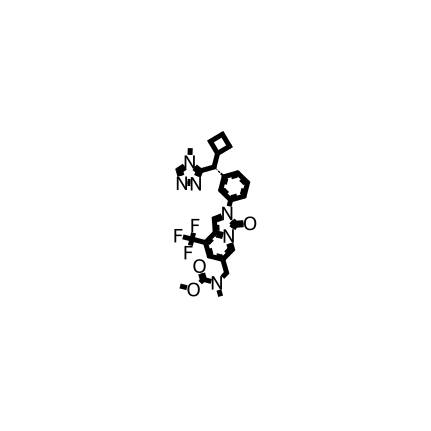 COC(=O)N(C)Cc1cc(C(F)(F)F)c2cn(-c3cccc([C@H](c4nncn4C)C4CCC4)c3)c(=O)n2c1